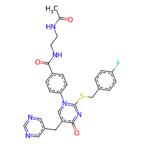 CC(=O)NCCNC(=O)c1ccc(-n2cc(Cc3cncnc3)c(=O)nc2SCc2ccc(F)cc2)cc1